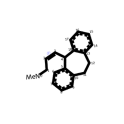 CNC/C=C\C1c2ccccc2CCc2ccccc21